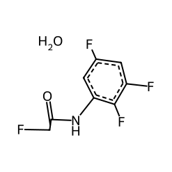 O.O=C(CF)Nc1cc(F)cc(F)c1F